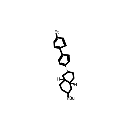 CCCCC1CC[C@@H]2C[C@H](c3ccc(-c4ccc(CC)cc4)cc3)CC[C@@H]2C1